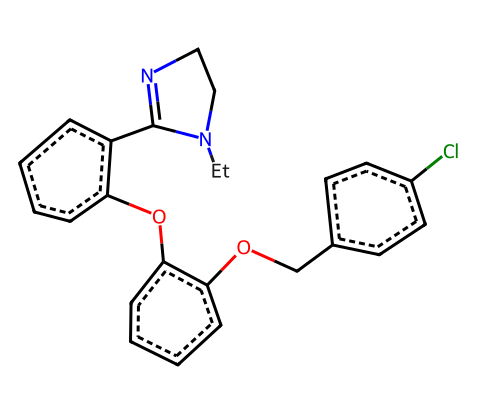 CCN1CCN=C1c1ccccc1Oc1ccccc1OCc1ccc(Cl)cc1